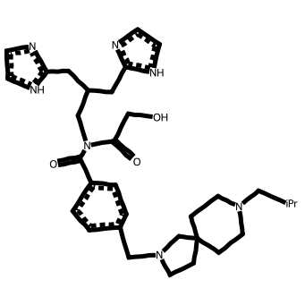 CC(C)CN1CCC2(CC1)CCN(Cc1ccc(C(=O)N(CC(Cc3ncc[nH]3)Cc3ncc[nH]3)C(=O)CO)cc1)C2